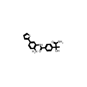 CC(O)(C(N)=O)c1ccc(C(=O)Nc2cc(-c3cccs3)ccc2N)cc1